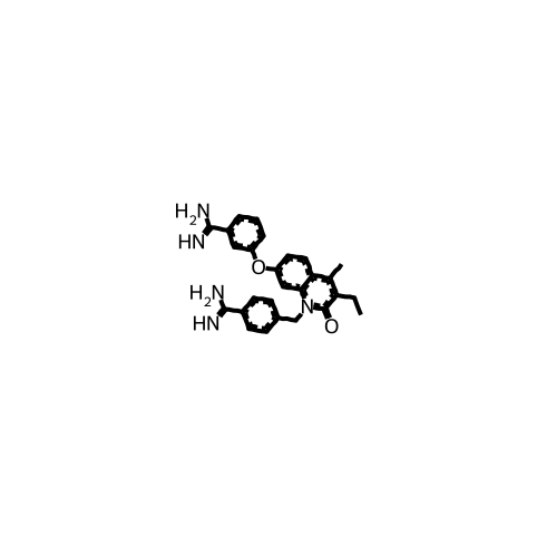 CCc1c(C)c2ccc(Oc3cccc(C(=N)N)c3)cc2n(Cc2ccc(C(=N)N)cc2)c1=O